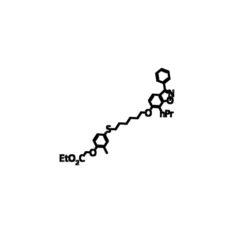 CCCc1c(OCCCCCCSc2ccc(OCC(=O)OCC)c(C)c2)ccc2c(-c3ccccc3)noc12